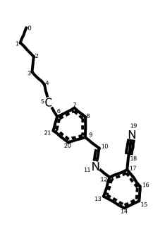 CCCCCCc1ccc(C=Nc2ccccc2C#N)cc1